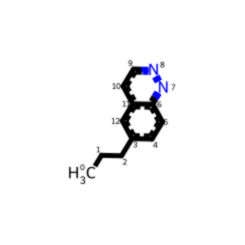 CCCc1ccc2nnccc2c1